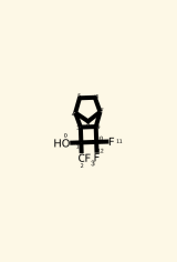 OC1(C(F)(F)F)C2C3CCC(C3)C2C1(F)F